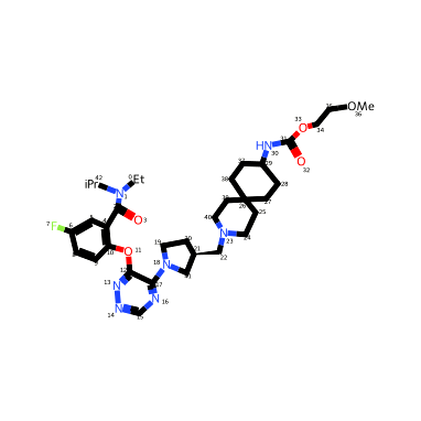 CCN(C(=O)c1cc(F)ccc1Oc1nncnc1N1CC[C@@H](CN2CCC3(CCC(NC(=O)OCCOC)CC3)CC2)C1)C(C)C